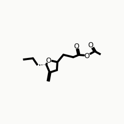 C=C1CC(CCC(=O)OC(C)=O)O[C@H]1CCC